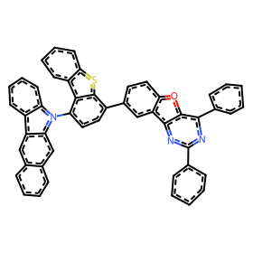 c1ccc(-c2nc(-c3ccccc3)c3oc4ccc(-c5ccc(-n6c7ccccc7c7cc8ccccc8cc76)c6c5sc5ccccc56)cc4c3n2)cc1